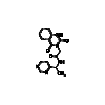 CC(NC(=O)Cn1c(=O)[nH]c2ccccc2c1=O)c1ccncn1